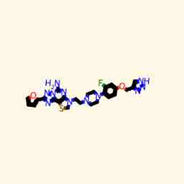 Nc1nc2c(c3nc(-c4ccco4)nn13)SCN2CCN1CCN(c2ccc(OCc3c[nH]nn3)cc2F)CC1